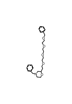 c1ccc(COCCOCCOCCOCCC2CN(Cc3ccccc3)CCO2)cc1